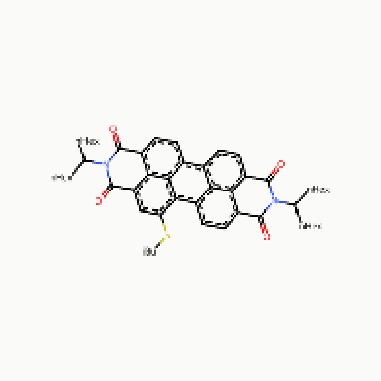 CCCCCCC(CCCCCC)N1C(=O)c2ccc3c4ccc5c6c(cc(SC(C)CC)c(c7ccc(c2c37)C1=O)c64)C(=O)N(C(CCCCCC)CCCCCC)C5=O